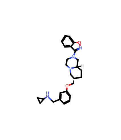 c1cc(CNC2CC2)cc(OC[C@@H]2CC[C@H]3CN(c4noc5ccccc45)CCN3C2)c1